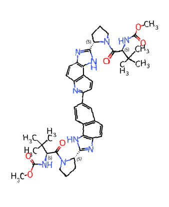 COC(=O)N[C@H](C(=O)N1CCC[C@H]1c1nc2ccc3cc(-c4ccc5c(ccc6nc([C@@H]7CCCN7C(=O)[C@@H](NC(=O)OC)C(C)(C)C)[nH]c65)n4)ccc3c2[nH]1)C(C)(C)C